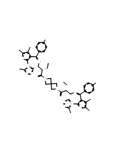 CC[C@@H](C(=O)N1CC2(C1)CN(C(=O)[C@H](CC)[C@@H]1N=C(c3ccc(Cl)cc3)c3c(sc(C)c3C)-n3c(C)nnc31)C2)[C@@H]1N=C(c2ccc(Cl)cc2)c2c(sc(C)c2C)-n2c(C)nnc21